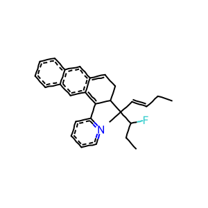 CCC=CC(C)(C(F)CC)C1CC=c2cc3ccccc3cc2=C1c1ccccn1